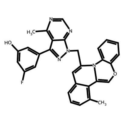 Cc1cccc2c1C1=COc3ccccc3N1C(Cn1nc(-c3cc(O)cc(F)c3)c3c(C)ncnc31)=C2